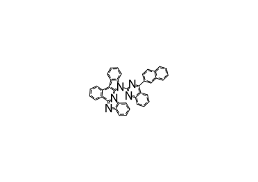 c1ccc2cc(-c3nc(-n4c5ccccc5c5c6ccccc6c6nc7ccccc7n6c54)nc4ccccc34)ccc2c1